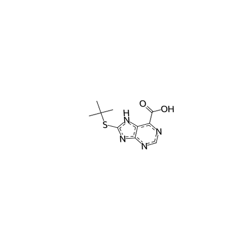 CC(C)(C)Sc1nc2ncnc(C(=O)O)c2[nH]1